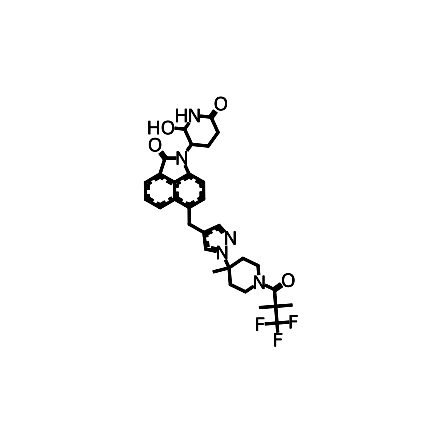 CC1(n2cc(Cc3ccc4c5c(cccc35)C(=O)N4C3CCC(=O)NC3O)cn2)CCN(C(=O)C(C)(C)C(F)(F)F)CC1